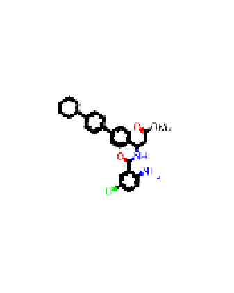 COC(=O)CC(NC(=O)c1cc(Cl)ccc1N)c1ccc(-c2ccc(C3CCCCC3)cc2)cc1